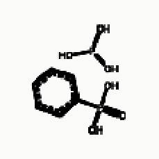 O=P(O)(O)c1ccccc1.OP(O)O